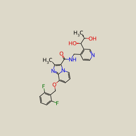 Cc1nc2c(OCc3c(F)cccc3F)cccn2c1C(=O)NCc1ccncc1[C@@H](O)[C@@H](C)O